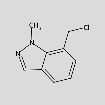 Cn1ncc2cccc(CCl)c21